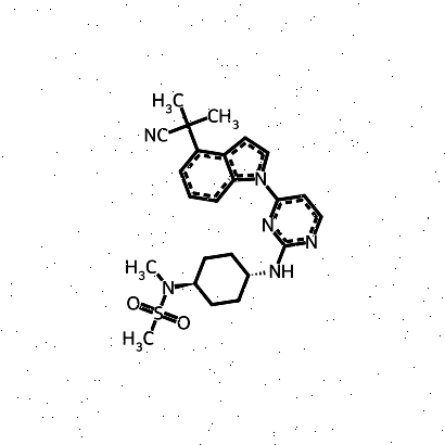 CN([C@H]1CC[C@H](Nc2nccc(-n3ccc4c(C(C)(C)C#N)cccc43)n2)CC1)S(C)(=O)=O